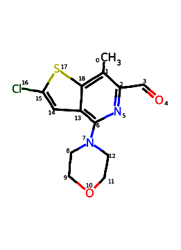 Cc1c(C=O)nc(N2CCOCC2)c2cc(Cl)sc12